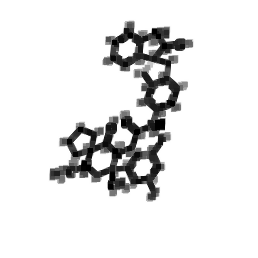 C[C@@]1(c2cc(F)cc(F)c2)CN([11CH3])C2(CCCC2)C(=O)N1CC(=O)Nc1ccc2c(c1)C[C@@]1(C2)C(=O)Nc2ncccc21